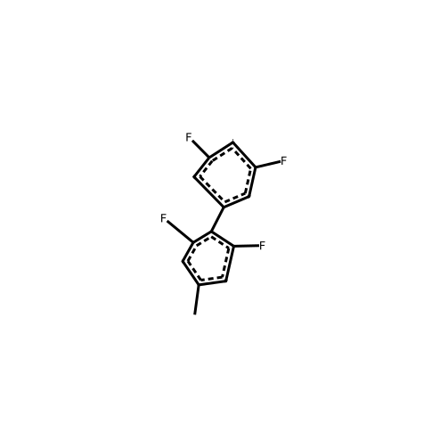 Cc1cc(F)c(-c2cc(F)[c]c(F)c2)c(F)c1